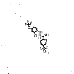 CS(=O)(=O)c1ccc(C(=N)NNc2ccc(OC(F)(F)F)cc2Cl)nc1